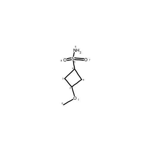 COC1CC(S(N)(=O)=O)C1